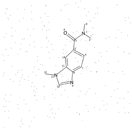 CN(C)C(=O)c1ccc2n[c]n(C)c2c1